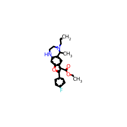 C=CCN1CCNc2cc3oc(-c4ccc(F)cc4)c(C(=O)OCC)c3cc2C1C